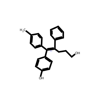 Cc1ccc(/C(=C(/CCCO)c2ccccc2)c2ccc(O)cc2)cc1